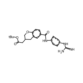 CC(C)(C)OC(=O)CC1COc2ccc(C(=O)Nc3ccc(NC(=N)N)cc3)cc2C1